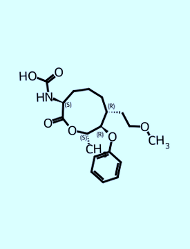 COCC[C@H]1CCC[C@H](NC(=O)O)C(=O)O[C@@H](C)[C@@H]1Oc1ccccc1